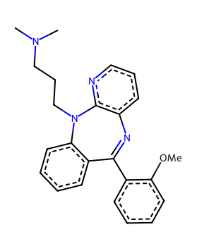 COc1ccccc1C1=Nc2cccnc2N(CCCN(C)C)c2ccccc21